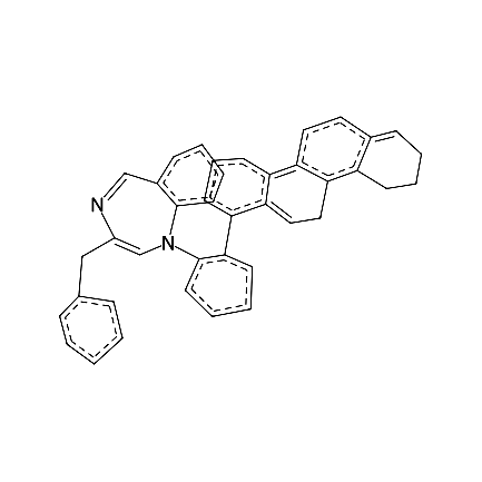 C1=NC(Cc2ccccc2)=CN(c2ccccc2-c2cccc3c2=CCc2c4c(ccc2=3)=CCCC4)c2ccccc21